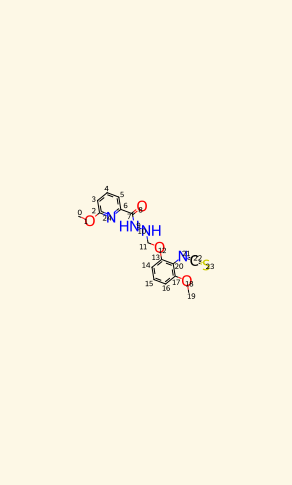 COc1cccc(C(=O)NNCOc2cccc(OC)c2N=C=S)n1